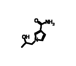 CC(O)Cn1ccc(C(N)=O)c1